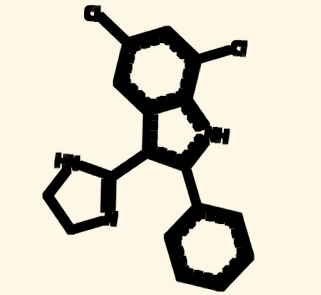 Clc1cc(Cl)c2[nH]c(-c3ccccc3)c(C3=NCCN3)c2c1